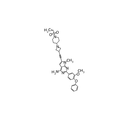 C=CS(=O)(=O)N1CCC(N2CC(C#Cc3cc4c(N)nc(-c5ccc(Oc6ccccc6)c(OC)c5)nc4n3C)C2)CC1